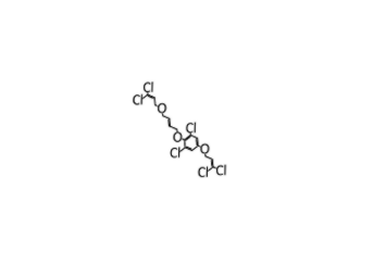 ClC(Cl)=CCOCC=CCOc1c(Cl)cc(OCC=C(Cl)Cl)cc1Cl